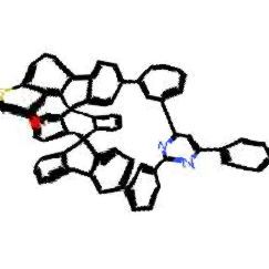 c1ccc(-c2cc(-c3cccc(-c4ccc5c(c4)C4(c6ccccc6C6(c7ccccc7-c7ccccc76)c6ccccc64)c4c-5ccc5sc6ccccc6c45)c3)nc(-c3ccccc3)n2)cc1